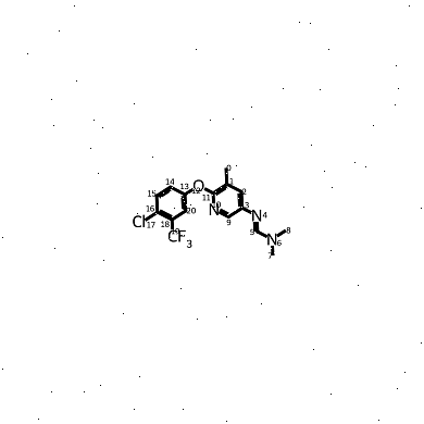 Cc1cc(/N=C/N(C)C)cnc1Oc1ccc(Cl)c(C(F)(F)F)c1